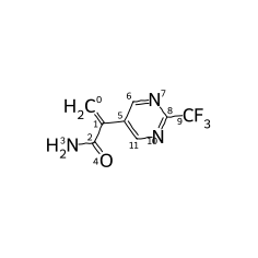 C=C(C(N)=O)c1cnc(C(F)(F)F)nc1